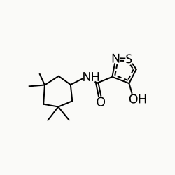 CC1(C)CC(NC(=O)c2nscc2O)CC(C)(C)C1